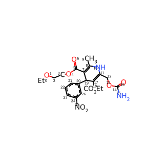 CCOCCOC(=O)C1=C(C)NC(COC(N)=O)=C(C(=O)OCC)C1c1cccc([N+](=O)[O-])c1